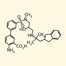 CN(CC(O)CNC(C)(C)CC1Cc2ccccc2C1)S(=O)(=O)c1cccc(-c2ccc(N)c(C(=O)O)c2)c1